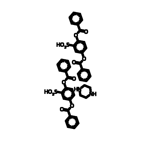 C1CNCCN1.O=C(Oc1ccc(OC(=O)c2ccccc2)c(S(=O)(=O)O)c1)c1ccccc1.O=C(Oc1ccc(OC(=O)c2ccccc2)c(S(=O)(=O)O)c1)c1ccccc1